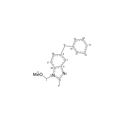 COCn1c(C)nc2cc(Cc3ccccc3)ccc21